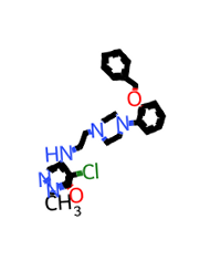 Cn1ncc(NCCN2CCN(c3ccccc3OCc3ccccc3)CC2)c(Cl)c1=O